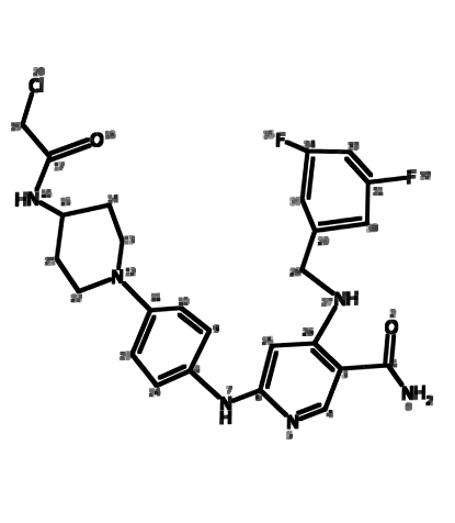 NC(=O)c1cnc(Nc2ccc(N3CCC(NC(=O)CCl)CC3)cc2)cc1NCc1cc(F)cc(F)c1